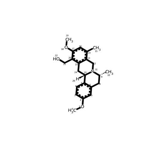 COc1ccc2c(c1)C[C@@H](C)N1Cc3c(C)cc(OC)c(CO)c3C[C@@H]21